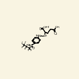 O=C(O)CCC(NNc1ccc(S(=O)(=O)C(F)(F)C(F)(F)C(F)(F)F)cc1)C(=O)O